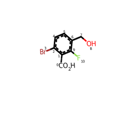 O=C(O)c1c(Br)ccc(CO)c1F